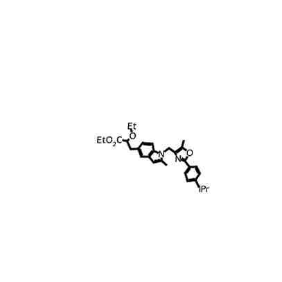 CCOC(=O)C(Cc1ccc2c(c1)cc(C)n2Cc1nc(-c2ccc(C(C)C)cc2)oc1C)OCC